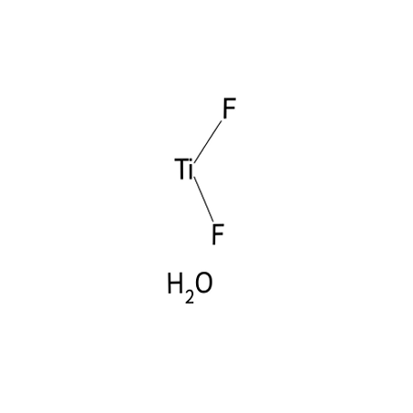 O.[F][Ti][F]